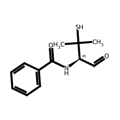 CC(C)(S)[C@@H]([C]=O)NC(=O)c1ccccc1